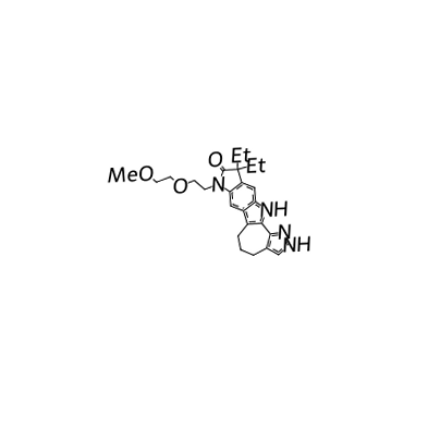 CCC1(CC)C(=O)N(CCOCCOC)c2cc3c4c([nH]c3cc21)-c1n[nH]cc1CCC4